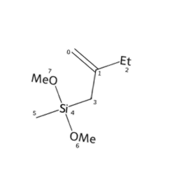 C=C(CC)C[Si](C)(OC)OC